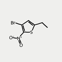 CCc1cc(Br)c([N+](=O)[O-])s1